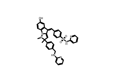 CN1n2c(/c(=C\c3ccc(S(=O)(=O)Nc4ccccn4)cc3)c3cc(O)ccc32)=CC1(C)c1ccc(CNc2ccccn2)cc1